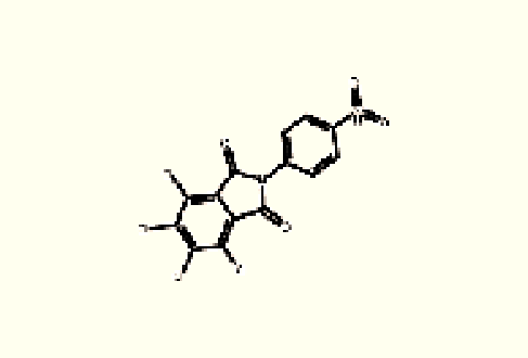 O=C1c2c(Cl)c(Cl)c(Cl)c(Cl)c2C(=O)N1c1ccc([SH](=O)=O)cc1